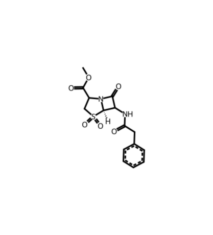 COC(=O)C1CS(=O)(=O)[C@@H]2C(NC(=O)Cc3ccccc3)C(=O)N12